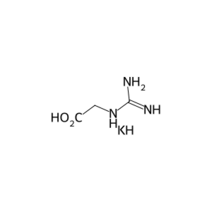 N=C(N)NCC(=O)O.[KH]